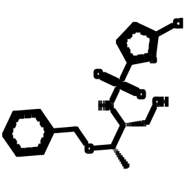 C[C@H](OCc1ccccc1)[C@@H](CO)NS(=O)(=O)c1ccc(Cl)s1